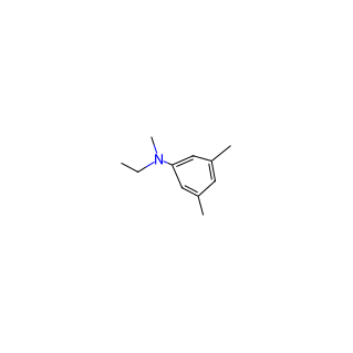 CCN(C)c1cc(C)cc(C)c1